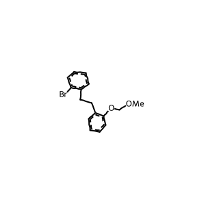 COCOc1ccccc1CCc1ccccc1Br